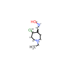 CCN1CCC(=C=NO)C(Cl)CC1